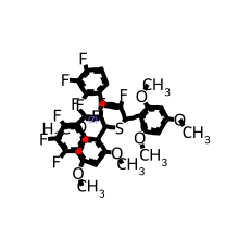 COc1cc(OC)c(C(SC(/C(F)=C(/F)c2ccc(F)c(F)c2F)c2c(OC)cc(OC)cc2OC)C(F)=C(F)c2ccc(F)c(F)c2F)c(OC)c1